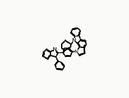 c1ccc(C2C(c3ccc(-n4ccc5ccc6c7ccccc7n(C7CCCCC7)c6c54)cc3)=Nc3ccccc32)cc1